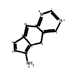 NC1=C2Cc3cncnc3C=C2C=C1